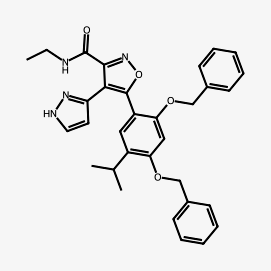 CCNC(=O)c1noc(-c2cc(C(C)C)c(OCc3ccccc3)cc2OCc2ccccc2)c1-c1cc[nH]n1